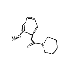 COc1ccccc1C(=O)N1CCCCC1